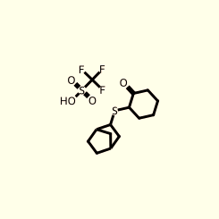 O=C1CCCCC1SC1CC2CCC1C2.O=S(=O)(O)C(F)(F)F